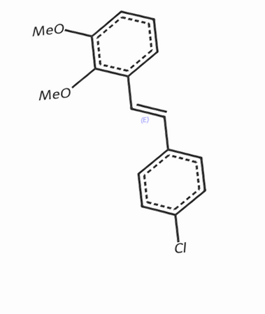 COc1cccc(/C=C/c2ccc(Cl)cc2)c1OC